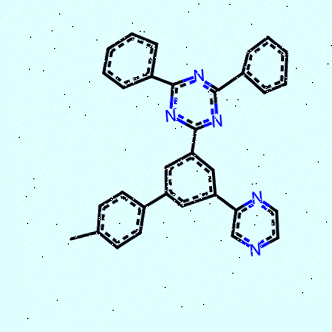 Cc1ccc(-c2cc(-c3cnccn3)cc(-c3nc(-c4ccccc4)nc(-c4ccccc4)n3)c2)cc1